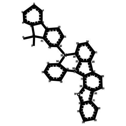 CC1(C)c2ccccc2-c2ccc(N3c4ccccc4-n4c5c3cccc5c3ccc5c6ccccc6oc5c34)cc21